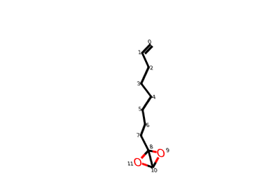 C=CCCCCCCC12OC1O2